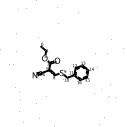 CCOC(=O)C(C#N)=CSCc1ccccc1